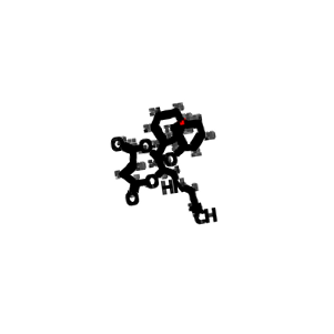 C#CCNCC1OC(=O)/C=C/C(=O)OC1(Oc1ccccc1)c1ccccc1